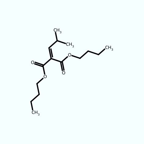 CCCCOC(=O)C(=CC(C)C)C(=O)OCCCC